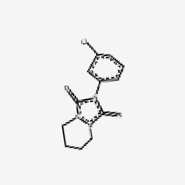 O=c1n(-c2cccc(Cl)c2)c(=S)n2n1CCCC2